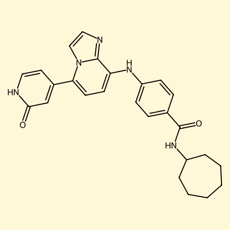 O=C(NC1CCCCCC1)c1ccc(Nc2ccc(-c3cc[nH]c(=O)c3)n3ccnc23)cc1